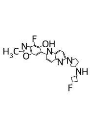 Cc1nc2c(F)c(O)c(-c3ccc4nc(N5CC[C@H](N[C@H]6C[C@@H](F)C6)C5)ccc4n3)cc2o1